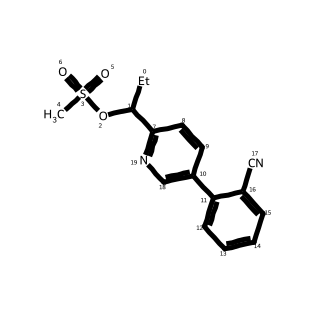 CCC(OS(C)(=O)=O)c1ccc(-c2ccccc2C#N)cn1